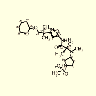 CN([C@@H]1CCN(S(C)(=O)=O)C1)C(C)(C)C(=O)Nc1cc(C(C)(C)COC2CCCCO2)no1